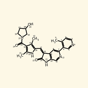 Cc1ccncc1-c1cc2c(cn1)NC(=O)C2=Cc1[nH]c(C)c(C(=O)N2CCC(O)C2)c1C